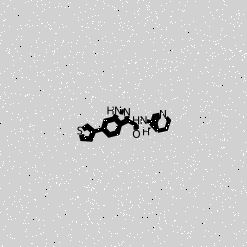 O=C(N[C@H]1CN2CCC1CC2)c1n[nH]c2cc(-c3ccsc3)ccc12